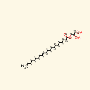 CCCCCCCCC=CCCCCCCCCCCCC(=O)OCC(O)CO